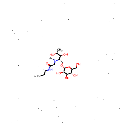 CCCCCCCCCCCCNC(=O)CN(C(C)=O)[C@@H](CO[C@H]1OC(CO)[C@H](O)C(O)C1O)[C@H](O)[C@@H](C)O